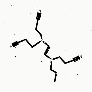 CCCP(/C=C/P(CCC#N)CCC#N)CCC#N